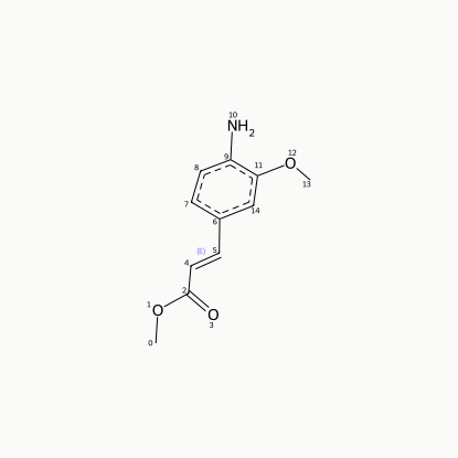 COC(=O)/C=C/c1ccc(N)c(OC)c1